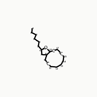 CCCCCCC1CC2CCCCCCCCCCC2O1